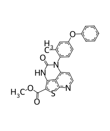 COC(=O)c1sc2nccc3c2c1NC(=O)N3c1ccc(Oc2ccccc2)cc1C